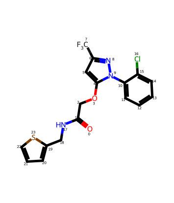 O=C(COc1cc(C(F)(F)F)nn1-c1ccccc1Cl)NCc1cccs1